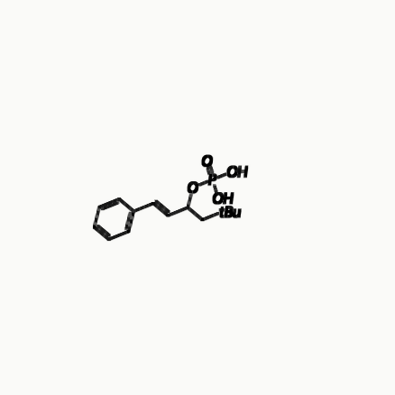 CC(C)(C)CC(C=Cc1ccccc1)OP(=O)(O)O